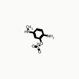 CNc1ccc(N)c(O[SH](=O)=O)c1